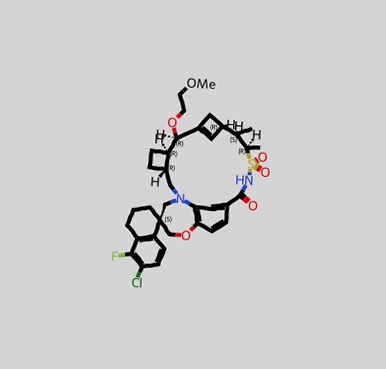 COCCO[C@H]1C2=C[C@@H](C2)[C@H](C)[C@@H](C)S(=O)(=O)NC(=O)c2ccc3c(c2)N(C[C@@H]2CC[C@H]21)C[C@@]1(CCCc2c1ccc(Cl)c2F)CO3